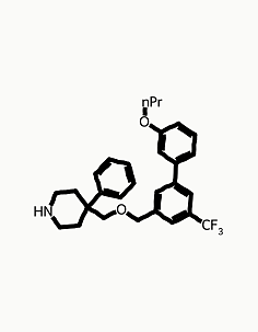 CCCOc1cccc(-c2cc(COCC3(c4ccccc4)CCNCC3)cc(C(F)(F)F)c2)c1